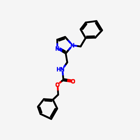 O=C(NCc1nccn1Cc1ccccc1)OCc1ccccc1